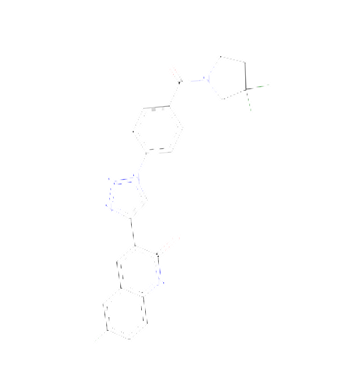 O=C(c1ccc(-n2cc(-c3cc4cc(F)ccc4[nH]c3=O)nn2)cc1)N1CCC(F)(F)C1